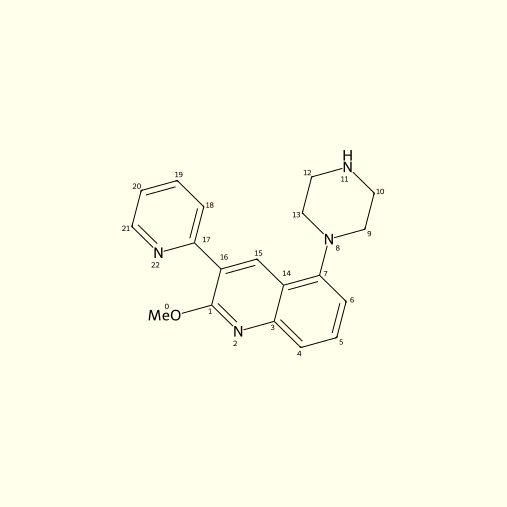 COc1nc2cccc(N3CCNCC3)c2cc1-c1ccccn1